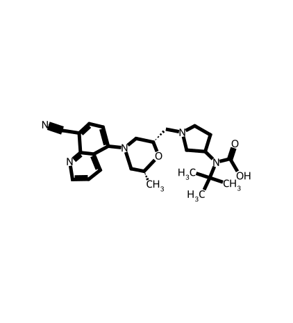 C[C@@H]1CN(c2ccc(C#N)c3ncccc23)C[C@H](CN2CCC(N(C(=O)O)C(C)(C)C)C2)O1